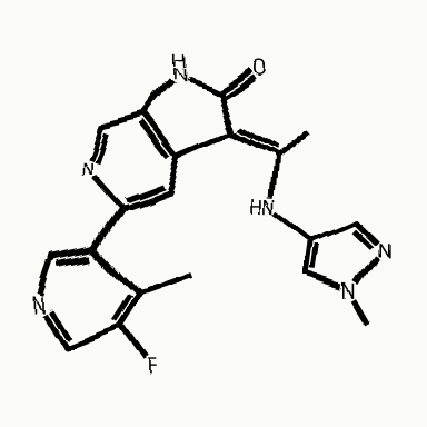 CC(Nc1cnn(C)c1)=C1C(=O)Nc2cnc(-c3cncc(F)c3C)cc21